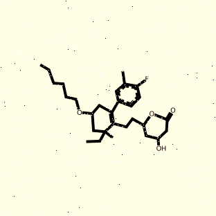 CCCCCCOC1CC(c2ccc(F)c(C)c2)=C(CCC2CC(O)CC(=O)O2)C(C)(CC)C1